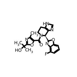 Cc1nc(C(C)(C)O)oc1C(=O)N1CCc2[nH]cnc2[C@H]1c1nc2c(F)cccc2o1